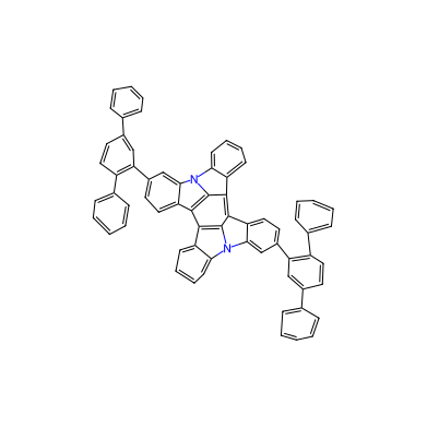 c1ccc(-c2ccc(-c3ccccc3)c(-c3ccc4c5c6c7ccccc7n7c8cc(-c9cc(-c%10ccccc%10)ccc9-c9ccccc9)ccc8c(c8c9ccccc9n(c4c3)c85)c67)c2)cc1